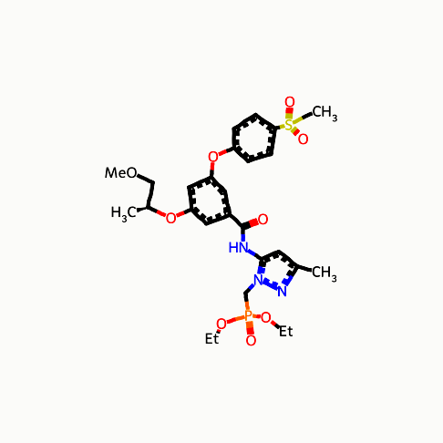 CCOP(=O)(Cn1nc(C)cc1NC(=O)c1cc(Oc2ccc(S(C)(=O)=O)cc2)cc(O[C@@H](C)COC)c1)OCC